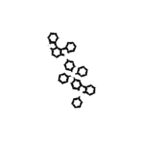 c1ccc(-n2c3ccccc3c3cc(S(c4ccccc4)(c4ccccc4)c4ccc(-n5c6ccccc6c6c7c(ccc65)sc5ccccc57)cc4)ccc32)cc1